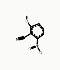 COc1cccc([N+](=O)[O-])c1C#N